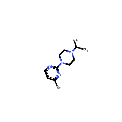 CC(C)c1ccnc(N2CCN(C(C)C(F)(F)F)CC2)n1